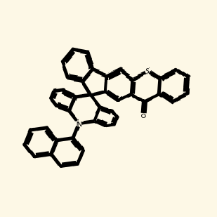 O=c1c2ccccc2sc2cc3c(cc12)C1(c2ccccc2-3)c2ccccc2N(c2cccc3ccccc23)c2ccccc21